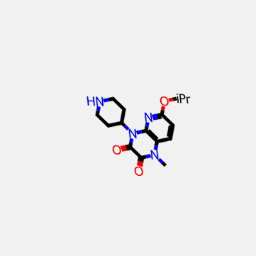 CC(C)Oc1ccc2c(n1)n(C1CCNCC1)c(=O)c(=O)n2C